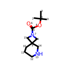 CC(C)(C)OC(=O)N1CC2(CCCNC2)C1